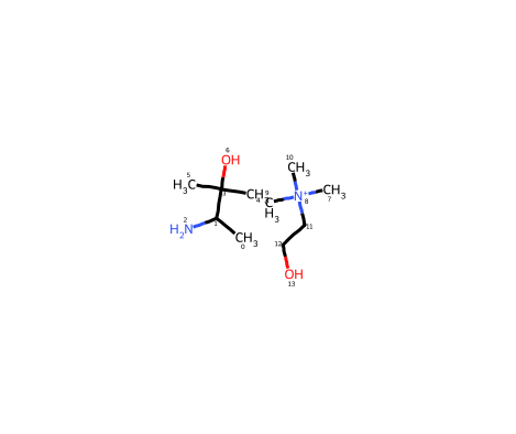 CC(N)C(C)(C)O.C[N+](C)(C)CCO